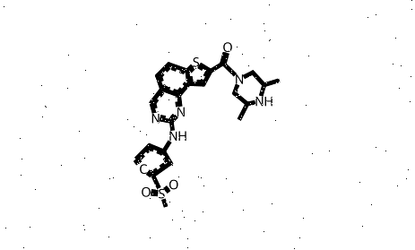 CC1CN(C(=O)c2cc3c(ccc4cnc(Nc5cccc(S(C)(=O)=O)c5)nc43)s2)CC(C)N1